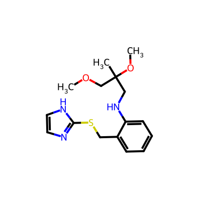 COCC(C)(CNc1ccccc1CSc1ncc[nH]1)OC